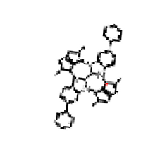 CC1=CC=C(C)C1N1c2ccc(-c3ccccc3)cc2N(C2C(C)=CC=C2C)C1C1N(C2C(C)=CC=C2C)c2ccc(-c3ccccc3)cc2N1C1C(C)=CC=C1C